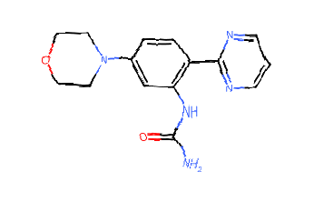 NC(=O)Nc1cc(N2CCOCC2)ccc1-c1ncccn1